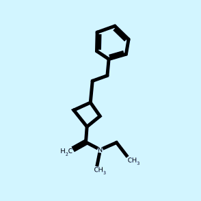 C=C(C1CC(CCc2ccccc2)C1)N(C)CC